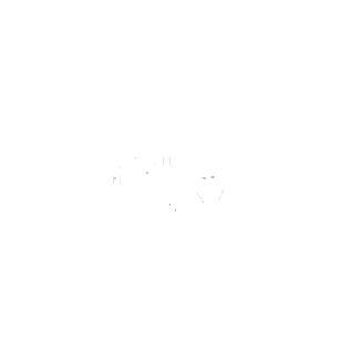 CC(C)(C)[Si](C)(C)OCC(N)c1ccc(F)cc1